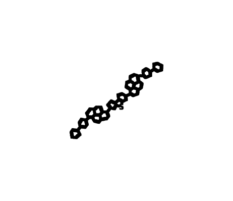 c1ccc(-c2ccc(-c3ccc4ccc5c(-c6ccc7c(c6)sc6cc(-c8ccc9ccc%10c(-c%11ccc(-c%12ccccc%12)cc%11)ccc%11ccc8c9c%11%10)ccc67)ccc6ccc3c4c65)cc2)cc1